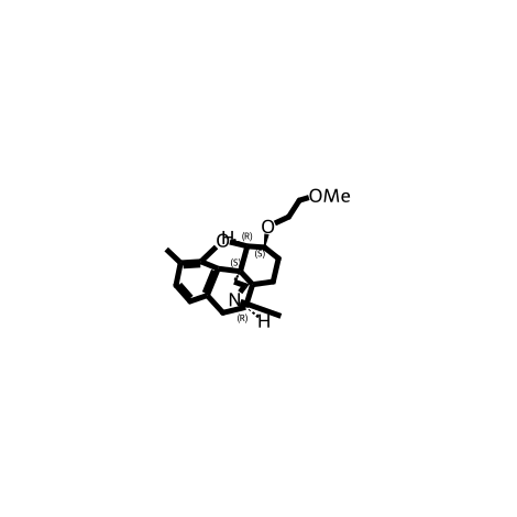 COCCO[C@H]1CCC2[C@H]3Cc4ccc(C)c5c4[C@@]2(CCN3C)[C@H]1O5